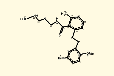 COc1ccc(Br)cc1CCc1cccc(C)c1C(=O)NCCCNC=O